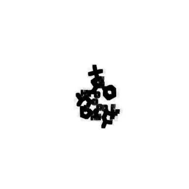 CC(C)[C@H](NC(=O)c1cc(C(C)(C)C)nn1-c1ccccc1)C(=O)N1CCC[C@H]1C(=O)N[C@H](C(=O)C(F)(F)F)C(C)C